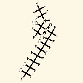 O=S(=O)(C(F)(F)C(F)(F)C(F)(F)C(F)(F)C(F)(F)C(F)(F)C(F)(F)C(F)(F)F)C(O)(N(F)C(F)(F)C(F)(F)F)C(F)(F)F